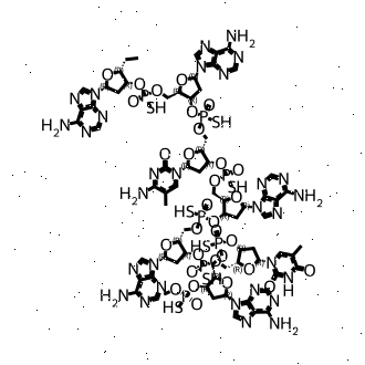 CC[C@H]1O[C@@H](n2cnc3c(N)ncnc32)C[C@H]1OP(=O)(S)OC[C@H]1O[C@@H](n2cnc3c(N)ncnc32)C[C@H]1OP(=O)(S)OC[C@H]1O[C@@H](n2cc(C)c(N)nc2=O)C[C@H]1OP(=O)(S)OC[C@H]1O[C@@H](n2cnc3c(N)ncnc32)C[C@H]1OP(=O)(S)OC[C@H]1O[C@@H](n2cnc3c(N)ncnc32)C[C@H]1OP(=O)(S)OC[C@H]1O[C@@H](n2cc(C)c(=O)[nH]c2=O)C[C@H]1OP(=O)(S)OC[C@H]1O[C@@H](n2cnc3c(N)ncnc32)C[C@H]1OP(=O)(S)OC